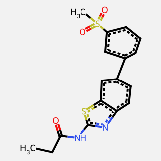 CCC(=O)Nc1nc2ccc(-c3cccc(S(C)(=O)=O)c3)cc2s1